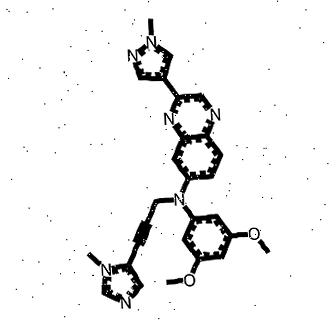 COc1cc(OC)cc(N(CC#Cc2cncn2C)c2ccc3ncc(-c4cnn(C)c4)nc3c2)c1